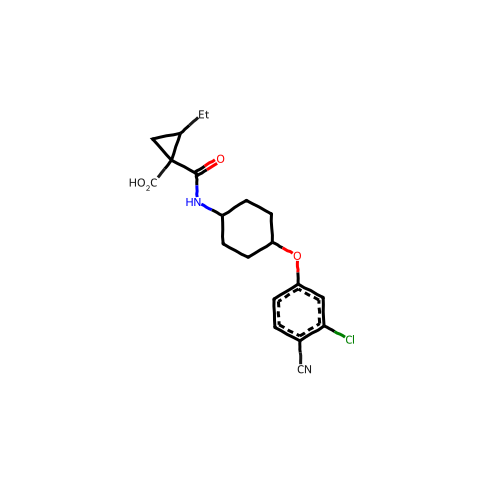 CCC1CC1(C(=O)O)C(=O)NC1CCC(Oc2ccc(C#N)c(Cl)c2)CC1